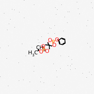 C=C(C)OP1OCC2(CO1)COP(Oc1ccccc1)OC2